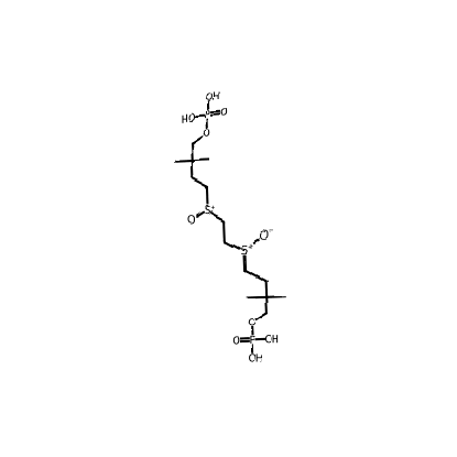 CC(C)(CC[S+]([O-])CC[S+]([O-])CCC(C)(C)COP(=O)(O)O)COP(=O)(O)O